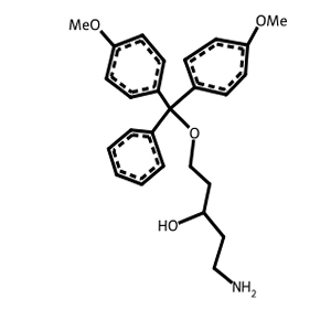 COc1ccc(C(OCCC(O)CCN)(c2ccccc2)c2ccc(OC)cc2)cc1